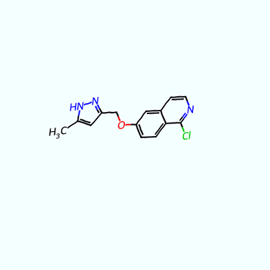 Cc1cc(COc2ccc3c(Cl)nccc3c2)n[nH]1